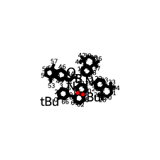 CC(C)(C)c1ccc(N2c3cc(C(C)(C)C)cc4c3B(c3cc5c(cc3N4c3ccc4c(c3)C(C)(C)CCC4(C)C)C(C)(C)CCC5(C)C)c3oc4cc5c(cc4c32)C2(C)CCC5(C)C2)c(-c2ccccc2)c1